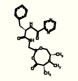 C[C@@H]1C(=O)OB(CNC(=O)[C@H](Cc2ccccc2)NC(=O)c2cnccn2)OC[C@H](C)N1C